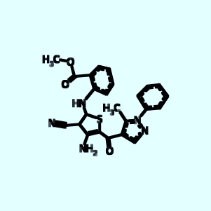 COC(=O)c1ccccc1NC1SC(C(=O)c2cnn(-c3ccccc3)c2C)=C(N)C1C#N